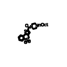 CCCCCCCCN1CCN(C(=O)c2cc3c(s2)-c2ccccc2S(=O)(=O)C3)CC1